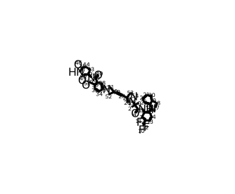 CC(C)(C(=O)Nc1cc(C(F)(F)F)ccc1N1CCc2ccccc21)n1cc(C#CC2CN(c3ccc4c(c3)C(=O)N(C3CCC(=O)NC3=O)C4=O)C2)cn1